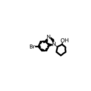 O[C@H]1CCCC[C@@H]1n1cnc2cc(Br)ccc21